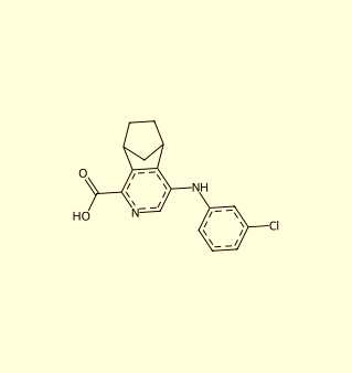 O=C(O)c1ncc(Nc2cccc(Cl)c2)c2c1C1CCC2C1